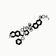 COc1ccc2ccc(S(=O)(=O)N[C@H]3CCN([C@H](Oc4ccccc4)c4ccc5ccncc5c4)C3=O)cc2c1